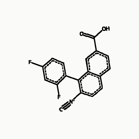 [C-]#[N+]c1ccc2ccc(C(=O)O)cc2c1-c1ccc(F)cc1F